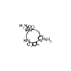 Cc1cc(C)c2cc1C(=O)NCCCC(OC(N)=O)NC(=O)CCSc1cc-2nc(N)n1